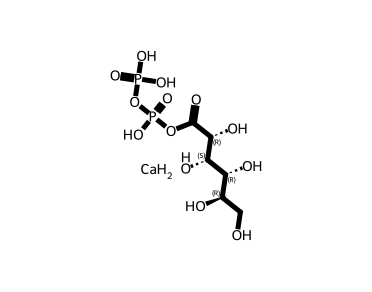 O=C(OP(=O)(O)OP(=O)(O)O)[C@H](O)[C@@H](O)[C@H](O)[C@H](O)CO.[CaH2]